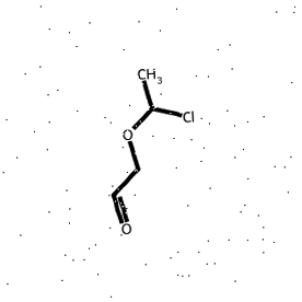 CC(Cl)OC[C]=O